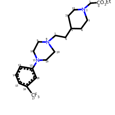 CCOC(=O)CN1CCC(CCN2CCN(c3cccc(C(F)(F)F)c3)CC2)CC1